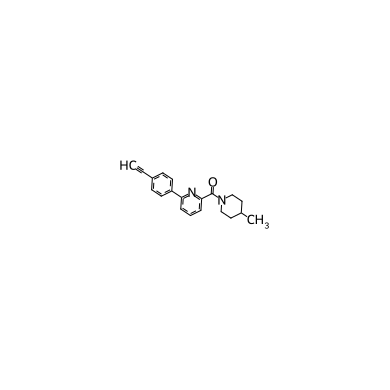 C#Cc1ccc(-c2cccc(C(=O)N3CCC(C)CC3)n2)cc1